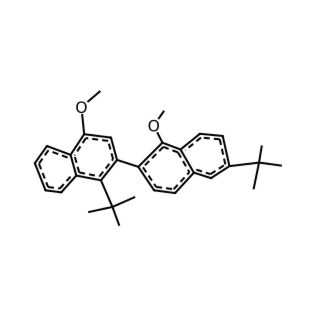 COc1c(-c2cc(OC)c3ccccc3c2C(C)(C)C)ccc2cc(C(C)(C)C)ccc12